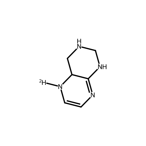 [2H]N1C=CN=C2NCNCC21